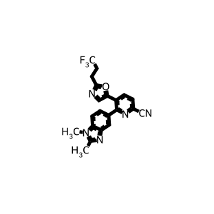 Cc1nc2cc(-c3nc(C#N)ccc3-c3cnc(CCC(F)(F)F)o3)ccc2n1C